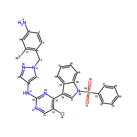 Nc1ccc(Cn2cc(Nc3ncc(Cl)c(-c4cn(S(=O)(=O)c5ccccc5)c5ccccc45)n3)cn2)c(F)c1